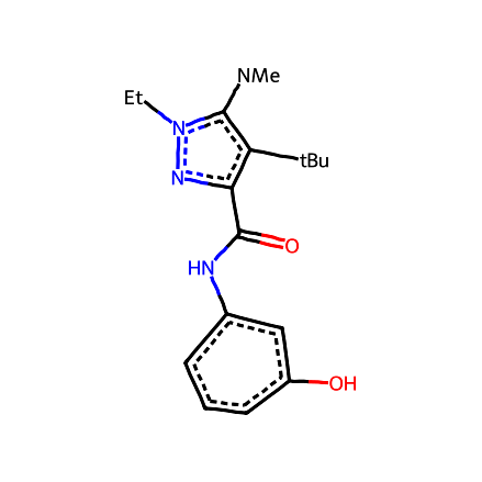 CCn1nc(C(=O)Nc2cccc(O)c2)c(C(C)(C)C)c1NC